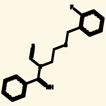 N=C(c1ccccc1)N(C=S)CCSCc1ccccc1F